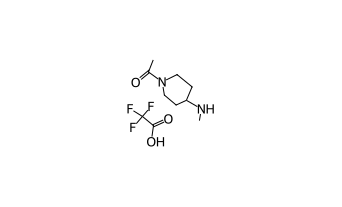 CNC1CCN(C(C)=O)CC1.O=C(O)C(F)(F)F